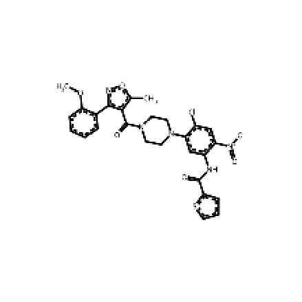 COc1ccccc1-c1noc(C)c1C(=O)N1CCN(c2cc(NC(=O)c3cccs3)c([N+](=O)[O-])cc2Cl)CC1